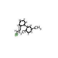 Cc1ccc(C)c(-c2ccccc2CCBr)c1